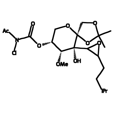 CO[C@@H]1[C@H](OC(=O)N(Cl)C(C)=O)CO[C@]2(COC(C)(C)O2)[C@@]1(O)C1OC1CCC(C)C